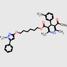 COC(=O)C1=C(C)NC(C)=C(C(=O)OCCCCCCOc2cc(-c3ccccc3)n(C(F)(F)F)n2)C1c1cccc([N+](=O)[O-])c1